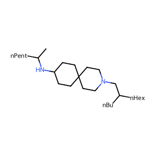 CCCCCCC(CCCC)CN1CCC2(CCC(NC(C)CCCCC)CC2)CC1